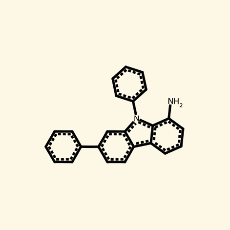 Nc1cccc2c3ccc(-c4ccccc4)cc3n(-c3ccccc3)c12